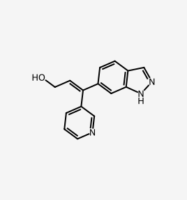 OCC=C(c1cccnc1)c1ccc2cn[nH]c2c1